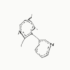 Cc1[c]c(-c2cccnc2)c(C)nc1